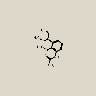 CCN(OC)c1cccc(NC(C)=O)c1OC